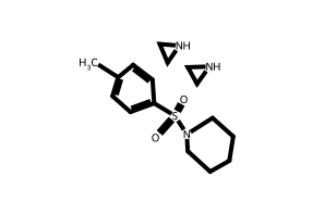 C1CN1.C1CN1.Cc1ccc(S(=O)(=O)N2CCCCC2)cc1